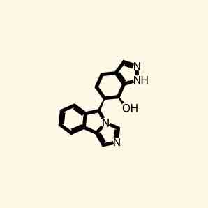 O[C@@H]1c2[nH]ncc2CC[C@@H]1C1c2ccccc2-c2cncn21